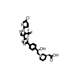 O=C(O)C[C@H]1CCCN(C[C@H](O)c2ccc(-c3noc(-c4cnn(-c5ccc(Cl)cn5)c4C(F)(F)F)n3)cc2)C1